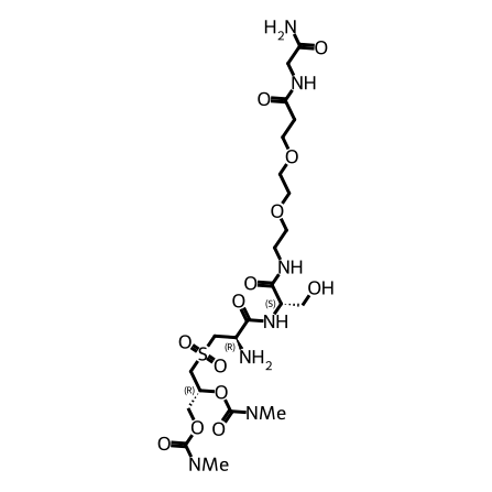 CNC(=O)OC[C@H](CS(=O)(=O)C[C@H](N)C(=O)N[C@@H](CO)C(=O)NCCOCCOCCC(=O)NCC(N)=O)OC(=O)NC